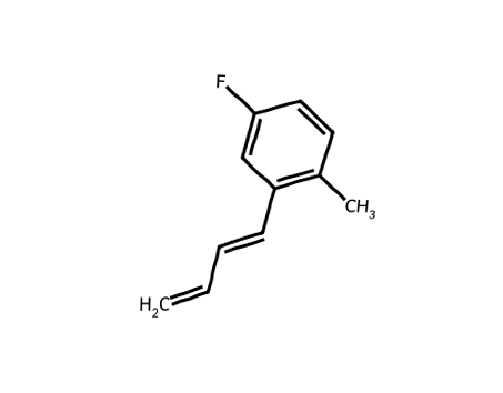 C=C/C=C/c1cc(F)ccc1C